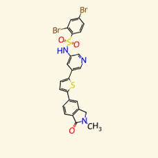 CN1Cc2cc(-c3ccc(-c4cncc(NS(=O)(=O)c5ccc(Br)cc5Br)c4)s3)ccc2C1=O